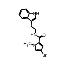 Cn1cc(Br)cc1C(=O)NCCc1c[nH]c2ccccc12